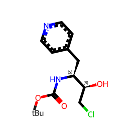 CC(C)(C)OC(=O)N[C@@H](Cc1ccncc1)[C@@H](O)CCl